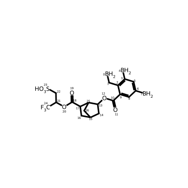 BCc1c(B)cc(B)cc1C(=O)OC1CC2CC(C(=O)OC(CS(=O)(=O)O)C(F)(F)F)C1C2